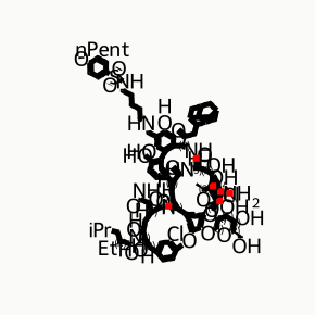 CCCCCOc1ccc(S(=O)(=O)NCCCCCNCc2c(O)cc3c(c2O)-c2cc(ccc2O)[C@H]2CC(=O)[C@@H]4NC(=O)[C@H](CC(N)=O)CC(=O)[C@H](NC(=O)[C@H](CC)CC(C)C)[C@H](O)c5ccc(c(Cl)c5)Oc5cc4cc(c5O[C@@H]4O[C@H](CO)[C@@H](O)[C@H](O)[C@H]4O[C@H]4C[C@](C)(N)[C@H](O)[C@H](C)O4)Oc4ccc(cc4Cl)[C@@H](O)[C@H](NC2=O)C(=O)N[C@@H]3C(=O)CC2C3CC4CC(C3)CC2C4)cc1